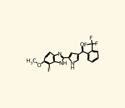 COc1ccc2nc(-c3cc(C(=O)c4ccccc4C(F)(F)F)c[nH]3)[nH]c2c1F